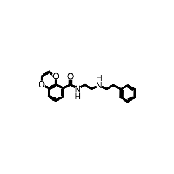 O=C(NCCNCCc1ccccc1)c1cccc2c1OCCO2